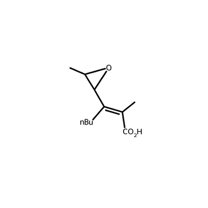 CCCCC(=C(C)C(=O)O)C1OC1C